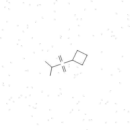 O=S(=O)([C]1CCC1)C(F)F